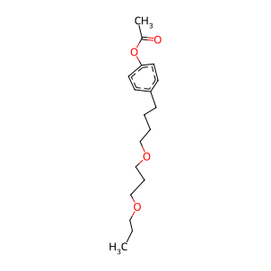 CCCOCCCOCCCCc1ccc(OC(C)=O)cc1